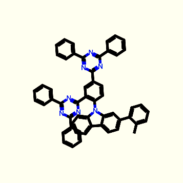 Cc1ccccc1-c1ccc2c3ccccc3n(-c3ccc(-c4nc(-c5ccccc5)nc(-c5ccccc5)n4)cc3-c3nc(-c4ccccc4)nc(-c4ccccc4)n3)c2c1